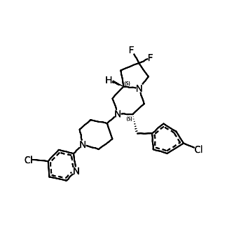 FC1(F)C[C@H]2CN(C3CCN(c4cc(Cl)ccn4)CC3)[C@@H](Cc3ccc(Cl)cc3)CN2C1